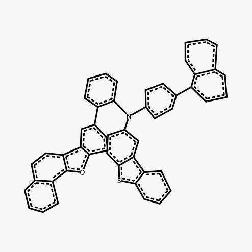 c1ccc(N(c2ccc(-c3cccc4ccccc34)cc2)c2ccc3sc4ccccc4c3c2)c(-c2ccc3oc4c5ccccc5ccc4c3c2)c1